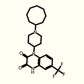 O=c1[nH]c2cc(C(F)(F)F)ccc2n(C2CCN(C3CCCCCCC3)CC2)c1=O